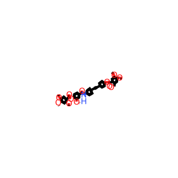 COc1cc(C=O)c(C(=O)Oc2ccc(C#Cc3ccc(NC(=O)c4ccc(OC(=O)c5cc(OC)c(OC)cc5OC)c(OC)c4)cc3)cc2)cc1OC